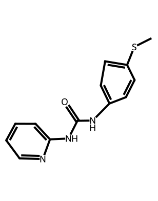 CSc1ccc(NC(=O)Nc2ccccn2)cc1